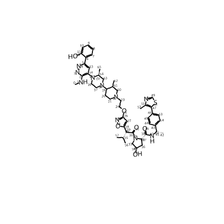 CNc1nnc(-c2ccccc2O)cc1N1CCN(C2CCN(CCOc3cc([C@H](C(=O)N4C[C@H](O)C[C@H]4C(=O)N[C@@H](C)c4ccc(-c5scnc5C)cc4)C(C)C)on3)CC2C)C[C@@H]1C